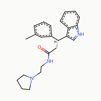 Cc1cccc([C@@H](CC(=O)NCCN2CCCC2)c2c[nH]c3ccccc23)c1